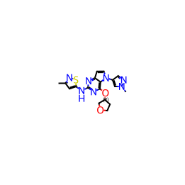 Cc1cc(Nc2nc(O[C@@H]3CCOC3)c3c(ccn3-c3cnn(C)c3)n2)sn1